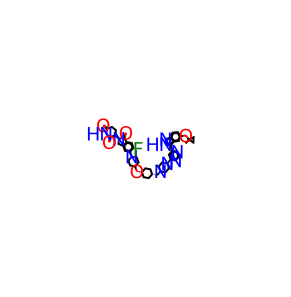 CC1(Oc2ccc3n[nH]c(-c4cc(N5CCN(C[C@H]6CC[C@H](OC7CCN(c8cc9c(cc8F)C(=O)N(C8CCC(=O)NC8=O)C9)CC7)CC6)CC5)ncn4)c3c2)CC1